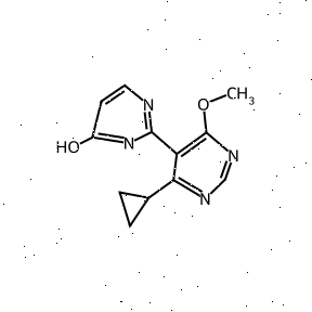 COc1ncnc(C2CC2)c1-c1nccc(O)n1